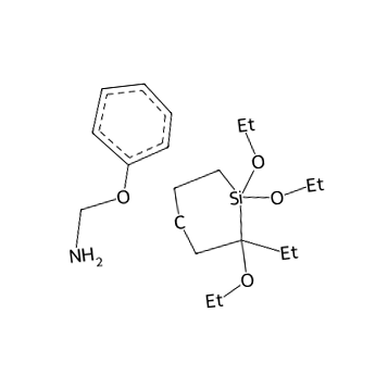 CCOC1(CC)CCCC[Si]1(OCC)OCC.NCOc1ccccc1